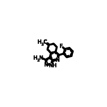 C=C1CCc2c(-c3ccccc3F)nc3[nH]nc(N)c3c2C1